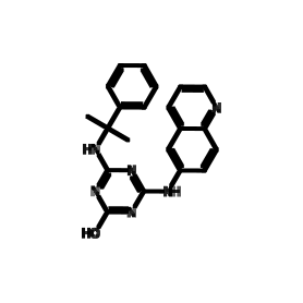 CC(C)(Nc1nc(O)nc(Nc2ccc3ncccc3c2)n1)c1ccccc1